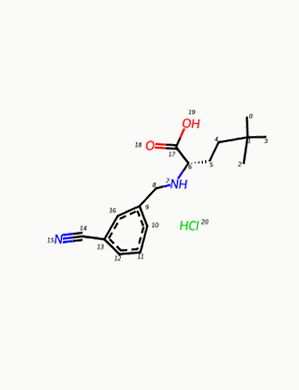 CC(C)(C)CC[C@H](NCc1cccc(C#N)c1)C(=O)O.Cl